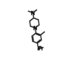 Cc1cc(C(C)C)ccc1N1CCC(N(C)C)CC1